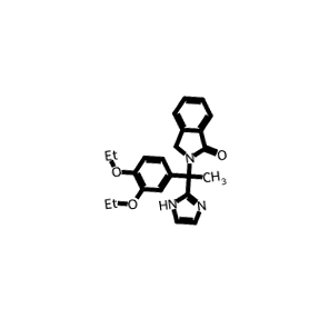 CCOc1ccc(C(C)(c2ncc[nH]2)N2Cc3ccccc3C2=O)cc1OCC